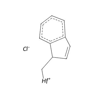 [Cl-].[Hf+][CH2]C1C=Cc2ccccc21